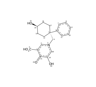 O=C(O)c1cn(C[C@]2(c3ccccc3)CC[C@@H](O)CC2)cc(O)c1=O